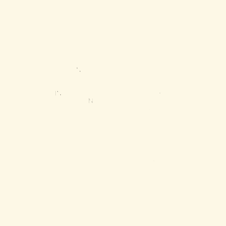 c1ccc(C2N=C(c3ccc4c(c3)C3(c5ccccc5-4)c4ccccc4-c4c3ccc3c4oc4ccccc43)NC(c3ccccc3)N2)cc1